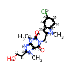 Cn1c(Cn2c(=O)c3c(nc(CCO)n3C)n(C)c2=O)cc2cc(Cl)ccc21